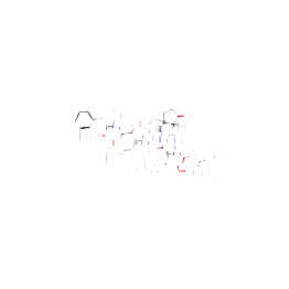 CCC[C@H](NC(=O)[C@@H]1[C@H]2CCC(=O)[C@H]2CN1C(=O)[C@@H](NC(=O)OC(C)C)C(C)C)C(=O)C(=O)N[C@@H](Cc1ccccc1)C(=O)O